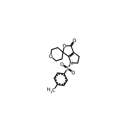 Cc1ccc(S(=O)(=O)N2CCC3=C2C2(CCOCC2)OC3=O)cc1